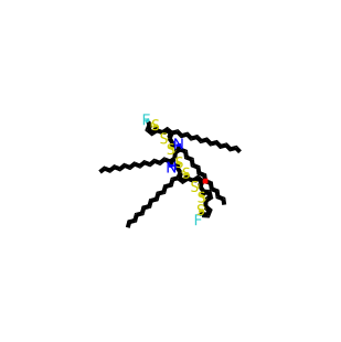 CCCCCCCCCCCCCCc1cc(-c2ccc(F)s2)sc1-c1nc(CCCCCCCCCCCCCC)c(-c2sc(-c3sc(-c4ccc(-c5ccc(-c6ccc(F)s6)s5)s4)cc3CCCCCCCCCCCCCC)nc2CCCCCCCCCCCCCC)s1